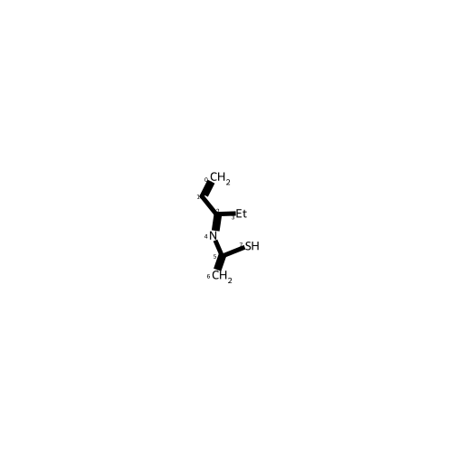 C=C/C(CC)=N/C(=C)S